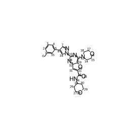 Cc1cccc(-c2cnn(-c3nc(N4CCOCC4)c4oc(C(=O)NC5CCOCC5)cc4n3)c2)c1